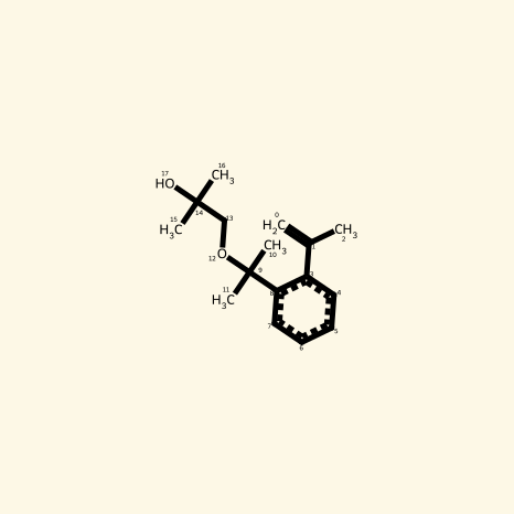 C=C(C)c1ccccc1C(C)(C)OCC(C)(C)O